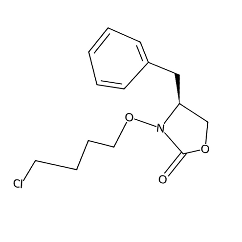 O=C1OC[C@H](Cc2ccccc2)N1OCCCCCl